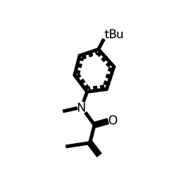 C=C(C)C(=O)N(C)c1ccc(C(C)(C)C)cc1